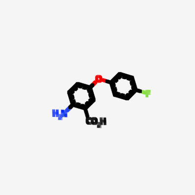 Nc1ccc(Oc2ccc(F)cc2)cc1C(=O)O